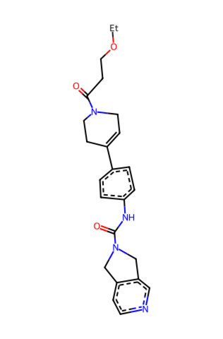 CCOCCC(=O)N1CC=C(c2ccc(NC(=O)N3Cc4ccncc4C3)cc2)CC1